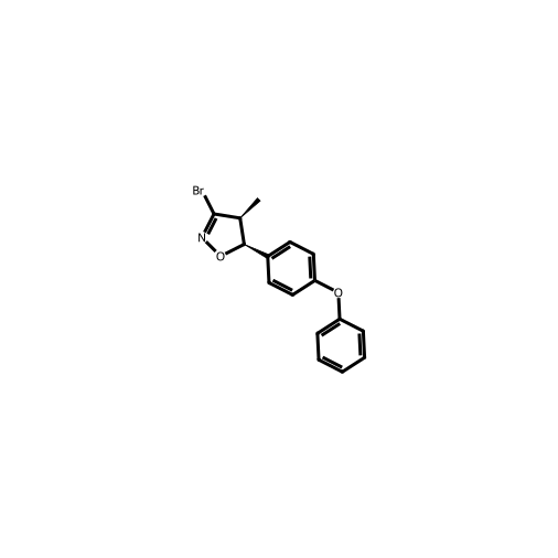 C[C@@H]1C(Br)=NO[C@@H]1c1ccc(Oc2ccccc2)cc1